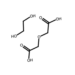 O=C(O)COCC(=O)O.OCCO